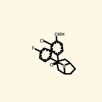 COc1ccc(C(=O)N2C3CCC2CC(c2ccc(F)cc2)C3)cc1Cl